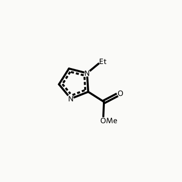 CCn1ccnc1C(=O)OC